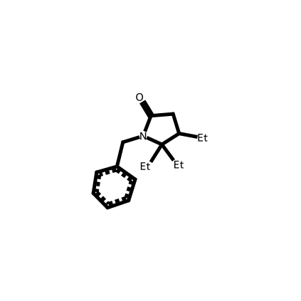 CCC1CC(=O)N(Cc2ccccc2)C1(CC)CC